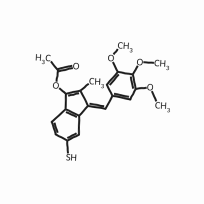 COc1cc(C=C2C(C)=C(OC(C)=O)c3ccc(S)cc32)cc(OC)c1OC